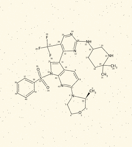 C[C@H]1COCCN1c1ccc2c(-c3nc(NC4CCC(C)(C)NC4)ncc3C(F)(F)F)cn(S(=O)(=O)c3ccccc3)c2n1